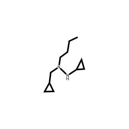 CCCCN(CC1CC1)NC1CC1